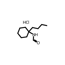 CCCCC1(NC=O)CCCCC1.Cl